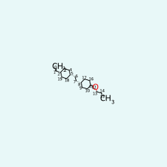 C=C[C@H]1CC[C@H](CC[C@H]2CC[C@H](OCCC)CC2)CC1